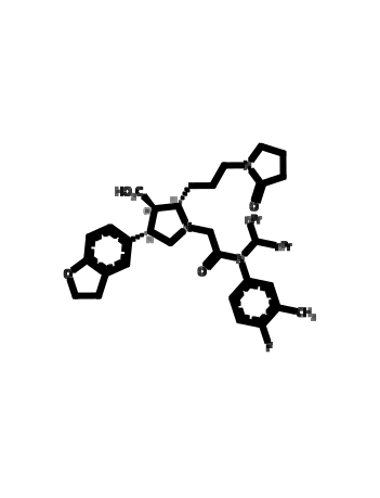 CCCC(CCC)N(C(=O)CN1C[C@H](c2ccc3c(c2)CCO3)[C@@H](C(=O)O)[C@@H]1CCCN1CCCC1=O)c1ccc(F)c(C)c1